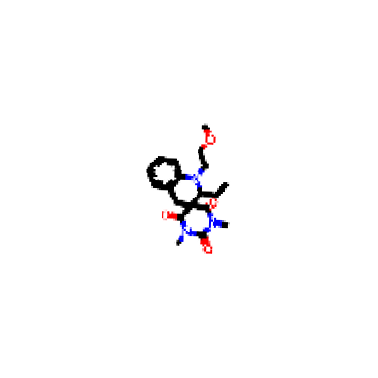 CCC1N(CCOC)c2ccccc2CC12C(=O)N(C)C(=O)N(C)C2=O